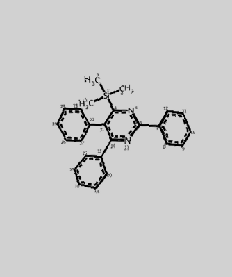 C[Si](C)(C)c1nc(-c2ccccc2)nc(-c2ccccc2)c1-c1ccccc1